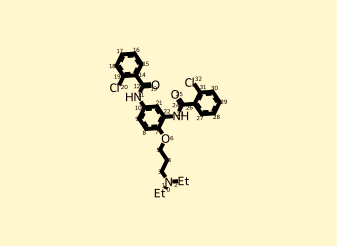 CCN(CC)CCCOc1ccc(NC(=O)c2ccccc2Cl)cc1NC(=O)c1ccccc1Cl